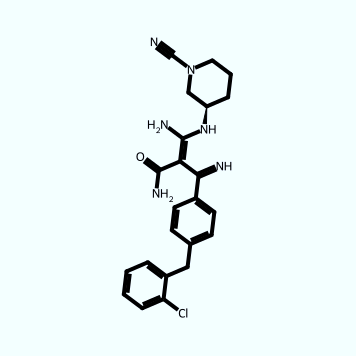 N#CN1CCC[C@@H](N/C(N)=C(\C(=N)c2ccc(Cc3ccccc3Cl)cc2)C(N)=O)C1